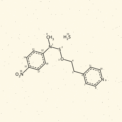 CN(SOCCc1ccncc1)c1ccc([N+](=O)[O-])cc1.S